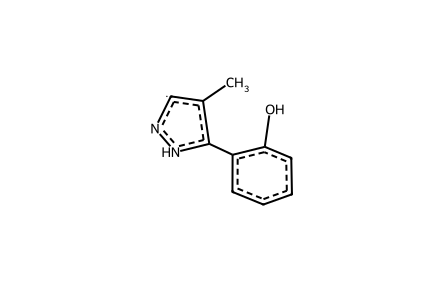 Cc1[c]n[nH]c1-c1ccccc1O